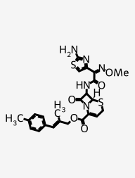 CO/N=C(\C(=O)NC1C(=O)N2C(C(=O)OC/C(C)=C/c3ccc(C)cc3)=CCS[C@H]12)c1csc(N)n1